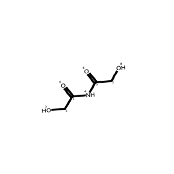 O=C(CO)NC(=O)CO